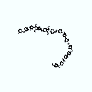 CCc1ccc(Oc2ccc(/N=N/c3ccc(-c4ccc(Oc5ccc(/N=N/c6ccc(-c7ccc(Oc8ccc(/N=N/c9ccc(N%10C(=O)c%11ccc(Cc%12ccc%13c(c%12)C(=O)N(c%12cccc(Oc%14cccc(Oc%15cccc(C)c%15)c%14)c%12)C%13=O)cc%11C%10=O)cc9)cc8)cc7)cc6)cc5)cc4)cc3)cc2)cc1